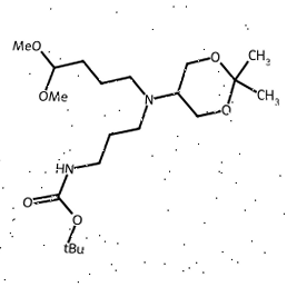 COC(CCCN(CCCNC(=O)OC(C)(C)C)C1COC(C)(C)OC1)OC